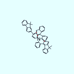 CC1(C)c2ccccc2-c2ccc(-c3ccc(N(c4ccccc4-c4cccc5c4-c4ccccc4C5(C)C)c4ccccc4-c4cccc5ccccc45)cc3)cc21